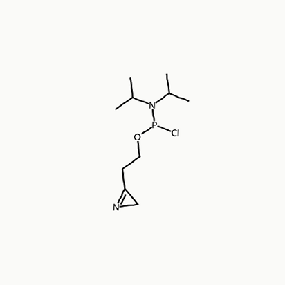 CC(C)N(C(C)C)P(Cl)OCCC1=NC1